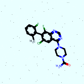 Cc1cccc(F)c1-c1c(Cl)cc2c(N3CCN(C(N)=O)CC3)ncnc2c1F